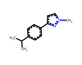 CC(C)c1ccc(-c2ccn(C)n2)cc1